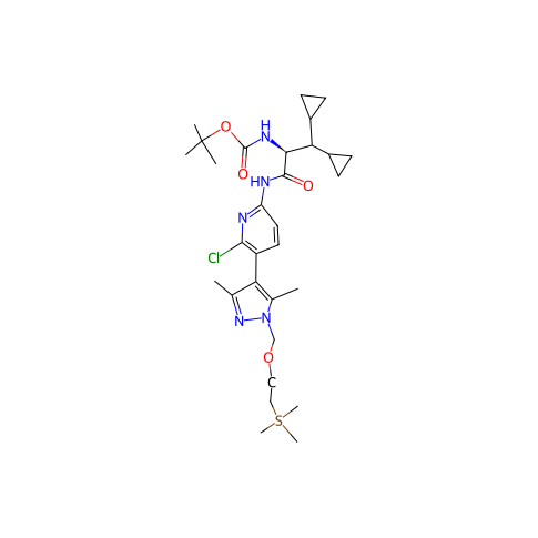 Cc1nn(COCCS(C)(C)C)c(C)c1-c1ccc(NC(=O)[C@@H](NC(=O)OC(C)(C)C)C(C2CC2)C2CC2)nc1Cl